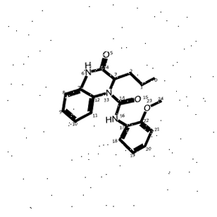 CCCC1C(=O)Nc2ccccc2N1C(=O)Nc1ccccc1OC